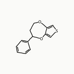 c1ccc(C2CCOc3cscc3O2)cc1